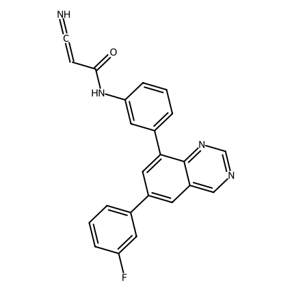 N=C=CC(=O)Nc1cccc(-c2cc(-c3cccc(F)c3)cc3cncnc23)c1